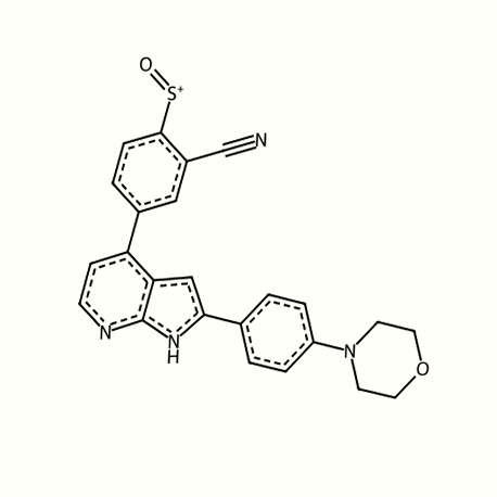 N#Cc1cc(-c2ccnc3[nH]c(-c4ccc(N5CCOCC5)cc4)cc23)ccc1[S+]=O